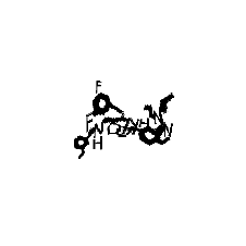 CCCN(CCC)c1nccc2ccc(C(=O)N[C@@H](Cc3cc(F)cc(F)c3)[C@@H](O)CNCc3cccc(CC)c3)cc12